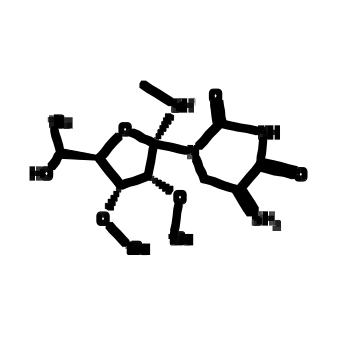 C[SiH](C)[C@@]1(N2CC(=[SiH2])C(=O)NC2=O)O[C@H](C(O)C(C)(C)C)[C@@H](OC(C)(C)C)[C@H]1OC(C)(C)C